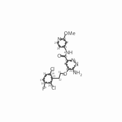 COc1cc(NC(=O)c2cc(OCCc3c(Cl)ccc(F)c3Cl)c(N)nn2)ccn1